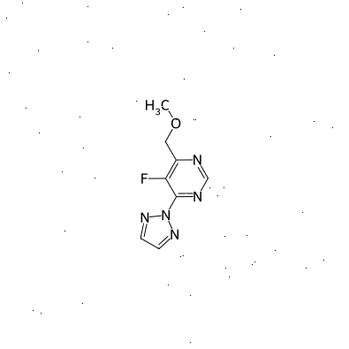 COCc1ncnc(-n2nccn2)c1F